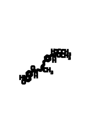 CN(CCCc1ccc(CNC(=O)OC(C)(C)C)cc1)CCNC(=O)c1ccc2[nH]c(=O)ccc2c1